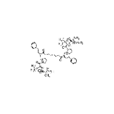 CN[C@@H](C)C(=O)N[C@H](C(=O)N1CCC[C@H]1CN(CCc1ccccc1)C(=O)CCCCCCC(=O)N(CCc1ccccc1)C[C@@H]1CCCN1C(=O)[C@@H](NC(=O)[C@H](C)NC)C(C)(C)C)C(C)(C)C